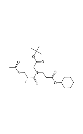 CC(=O)SC[C@@H](C)C(=O)N(CCC(=O)OC1CCCCC1)CC(=O)OC(C)(C)C